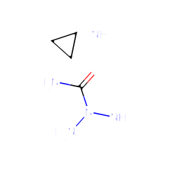 C1CC1.N.NC(=O)N(N)N